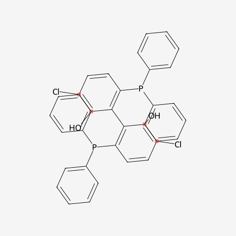 Oc1c(Cl)ccc(P(c2ccccc2)c2ccccc2)c1-c1c(P(c2ccccc2)c2ccccc2)ccc(Cl)c1O